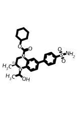 CC(O)N1c2ccc(-c3ccc(S(N)(=O)=O)cc3)cc2N(C(=O)OC2CCCCC2)C[C@@H]1C